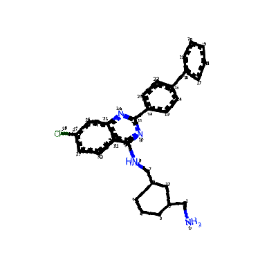 NCC1CCCC(CNc2nc(-c3ccc(-c4ccccc4)cc3)nc3cc(Cl)ccc23)C1